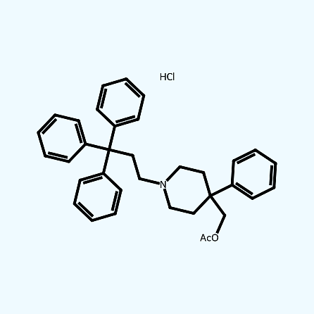 CC(=O)OCC1(c2ccccc2)CCN(CCC(c2ccccc2)(c2ccccc2)c2ccccc2)CC1.Cl